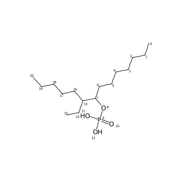 CCCCCCCC(OP(=O)(O)O)C(CC)CCCCC